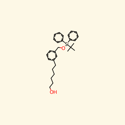 CC(C)(C)[Si](OCc1cccc(CCCCCCO)c1)(c1ccccc1)c1ccccc1